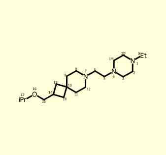 CCN1CCN(CCN2CCC3(CC2)CC(COC(C)C)C3)CC1